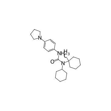 CC1(N(C(=O)Nc2ccc(N3CCCC3)cc2)C2CCCCC2)CCCCC1